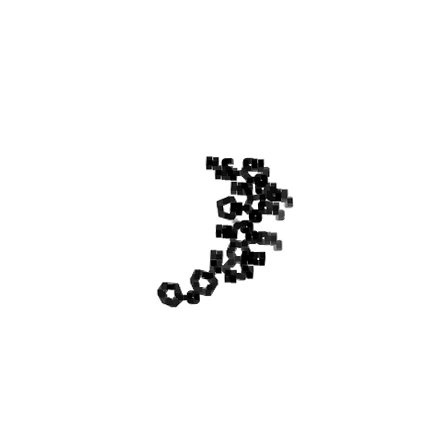 CN[C@@H](C)C(=O)N[C@H](C(=O)N1CCC[C@H]1C(=O)Nc1cc2c(Nc3ccc(Oc4ccccc4)cc3)ncnc2cc1OC)C(C)(C)C.Cl